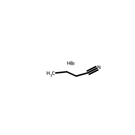 Br.CCCC#N